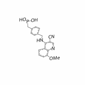 COc1cccc2c(NCc3ccc(CP(O)O)cc3)c(C#N)cnc12